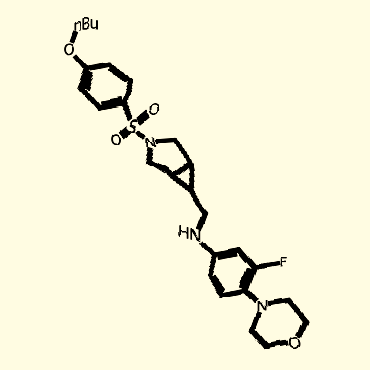 CCCCOc1ccc(S(=O)(=O)N2CC3C(CNc4ccc(N5CCOCC5)c(F)c4)C3C2)cc1